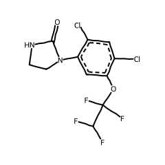 O=C1NCCN1c1cc(OC(F)(F)C(F)F)c(Cl)cc1Cl